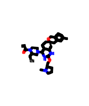 C=CC(=O)N1CCN(C2NC(OCC3CCCN3C)NC3C[C@@]4(CCC32)Cc2cc(C)ccc2CO4)CC1CC#N